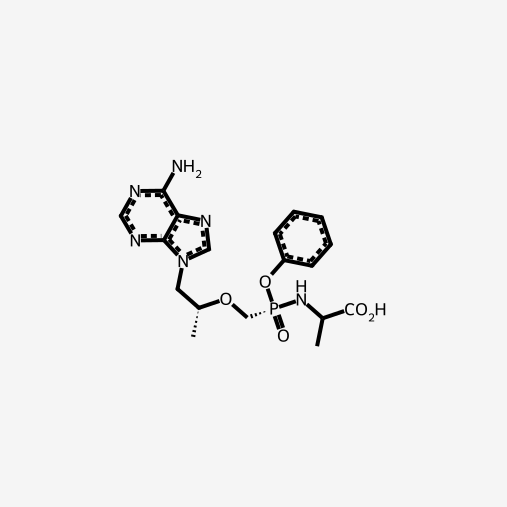 CC(N[P@](=O)(CO[C@H](C)Cn1cnc2c(N)ncnc21)Oc1ccccc1)C(=O)O